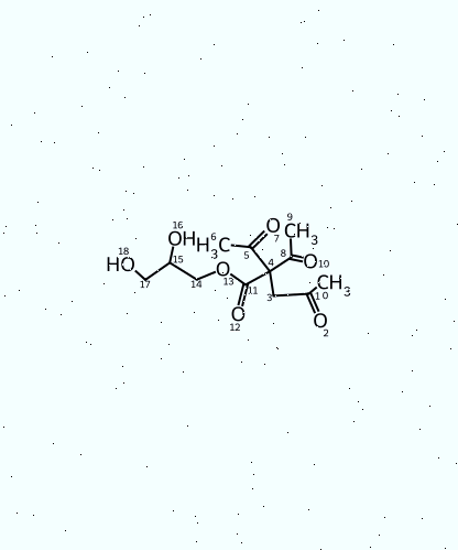 CC(=O)CC(C(C)=O)(C(C)=O)C(=O)OCC(O)CO